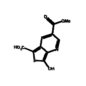 COC(=O)c1cnc2c(O)sc(C(=O)O)c2c1